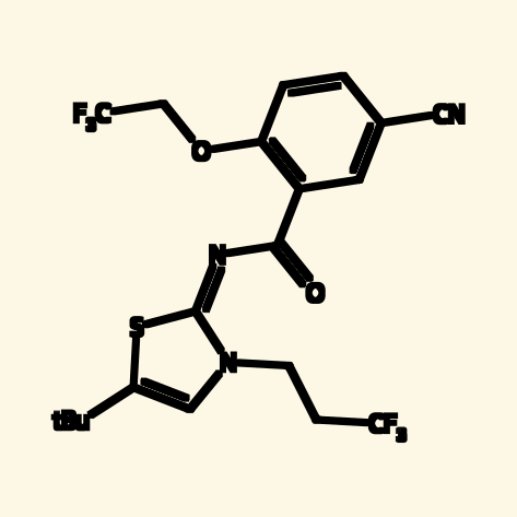 CC(C)(C)c1cn(CCC(F)(F)F)c(=NC(=O)c2cc(C#N)ccc2OCC(F)(F)F)s1